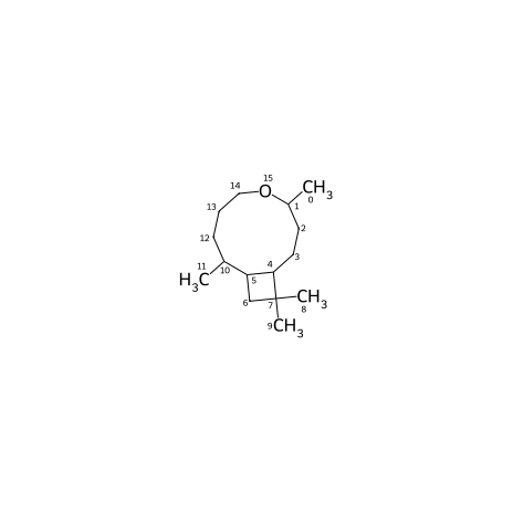 CC1CCC2C(CC2(C)C)C(C)CCCO1